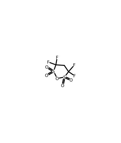 O=S1(=O)OS(=O)(=O)C(F)(F)CC1(F)F